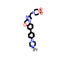 CC(C)N1CCN(c2ccc(-c3ccc4c(c3)OCc3nc(CN5CCS(=O)(=O)CC5)cn3-4)cc2)CC1